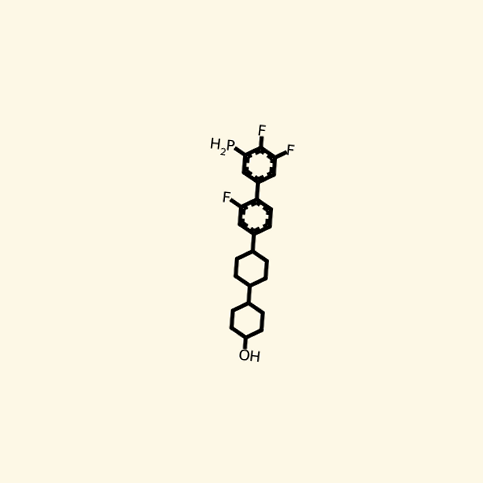 OC1CCC(C2CCC(c3ccc(-c4cc(F)c(F)c(P)c4)c(F)c3)CC2)CC1